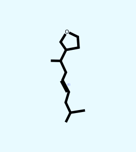 CC(C)C/C=C/CC(C)C1CCOC1